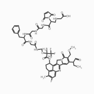 BC(OCNC(=O)CNC(=O)C(Cc1ccccc1)NC(=O)CNC(=O)CNC(=O)C(CNCC(=O)O)N1C(=O)C=CC1=O)(C(=O)NC1CCc2c(C)c(F)cc3nc4c(c1c23)Cn1c-4cc(C(C=O)CC)c(COC)c1=O)C(F)(F)F